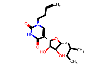 C=CCCn1cc([C@@H]2O[C@H](CC(C)CC)[C@@H](O)[C@H]2O)c(=O)[nH]c1=O